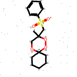 CC1(CS(=O)(=O)c2ccccc2)COC2(CCCCC2)OO1